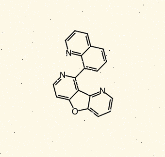 c1cnc2c(-c3nccc4oc5cccnc5c34)cccc2c1